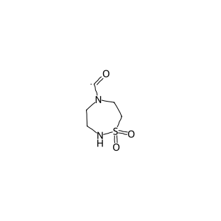 O=[C]N1CCNS(=O)(=O)CC1